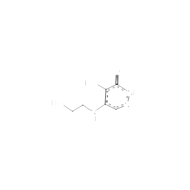 O=c1[nH]ncc(NCCO)c1C(F)(F)F